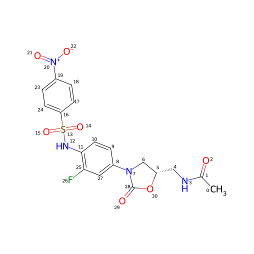 CC(=O)NC[C@H]1CN(c2ccc(NS(=O)(=O)c3ccc([N+](=O)[O-])cc3)c(F)c2)C(=O)O1